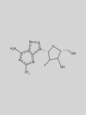 Nc1nc(C(F)(F)F)nc2c1ncn2[C@@H]1O[C@H](CO)C(O)C1F